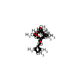 Cc1cc(C)c(-c2c3nc(c(-c4c(C)cc(C)cc4C)c4ccc([nH]4)c(-c4c(C)cc(C)cc4C)c4nc(c(-c5ccc(C(=O)OCCN6CCN(C)CCN(C)CCN(C)CC6)cc5)c5ccc2[nH]5)C=C4)C=C3)c(C)c1